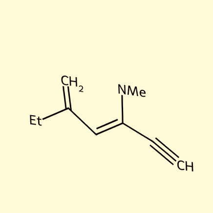 C#C/C(=C/C(=C)CC)NC